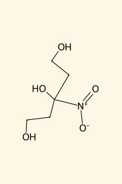 O=[N+]([O-])C(O)(CCO)CCO